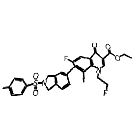 CCOC(=O)c1cn(CCF)c2c(C)c(-c3ccc4c(c3)CN(S(=O)(=O)c3ccc(C)cc3)C4)c(F)cc2c1=O